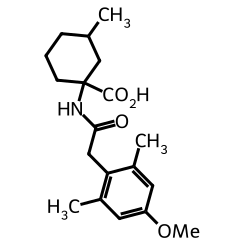 COc1cc(C)c(CC(=O)NC2(C(=O)O)CCCC(C)C2)c(C)c1